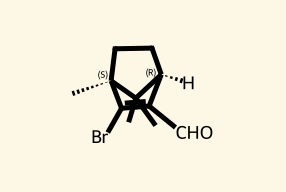 CC1(C)[C@H]2CC[C@]1(C)C(Br)=C2C=O